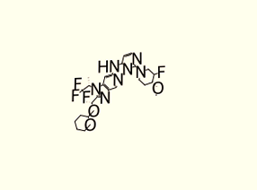 CO[C@@H]1CCN(c2nccc(Nc3cc4c(cn3)nc([C@@H](C)OC3CCCCO3)n4[C@@H](C)C(F)(F)F)n2)CC1F